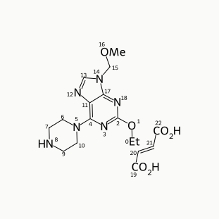 CCOc1nc(N2CCNCC2)c2ncn(COC)c2n1.O=C(O)C=CC(=O)O